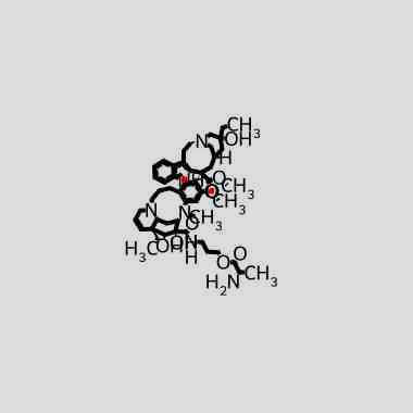 CCC1(O)C[C@H]2C[N@](CCc3c([nH]c4ccccc34)[C@@](C(=O)OC)(c3cc4c(cc3OC)N(C)C3CC5N(CC=C[C@@]5(CC)[C@@H](O)[C@]3(O)C(=O)NCCCOC(=O)C(C)N)CCC4)C2)C1